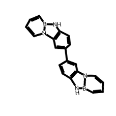 C1=CB2Nc3ccc(-c4ccc5c(c4)N4C=CC=CB4N5)cc3N2C=C1